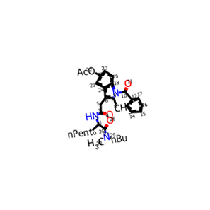 CCCCCC(NC(=O)Cc1c(C)n(C(=O)c2ccccc2)c2ccc(OC(C)=O)cc12)C(=O)N(C)CCCC